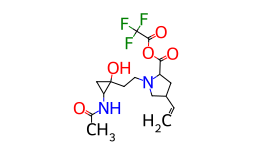 C=CC1CC(C(=O)OC(=O)C(F)(F)F)N(CCC2(O)CC2NC(C)=O)C1